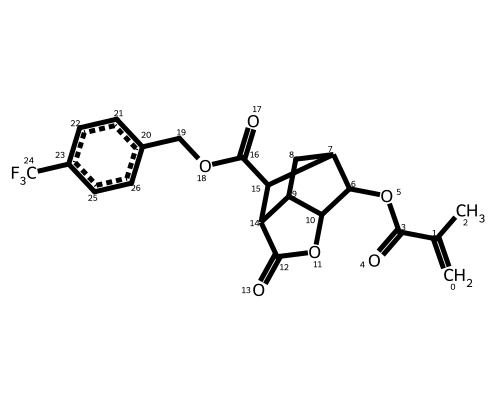 C=C(C)C(=O)OC1C2CC3C1OC(=O)C3C2C(=O)OCc1ccc(C(F)(F)F)cc1